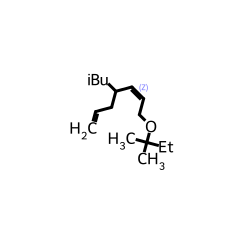 C=CCC(/C=C\COC(C)(C)CC)C(C)CC